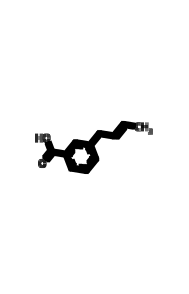 CC=CCc1cccc(C(=O)O)c1